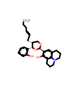 O=C(O)CCC=CC[C@@H]1CO[C@@H](c2cc3c4c(c2O)CCCN4CCC3)O[C@@H]1c1ccccc1O